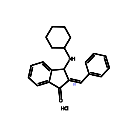 Cl.O=C1/C(=C/c2ccccc2)C(NC2CCCCC2)c2ccccc21